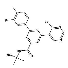 Cc1ccc(-c2cc(C(=O)NC(C)(C)C#N)cc(-c3cncnc3C(C)C)c2)cc1F